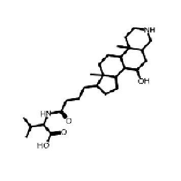 CC(C)C(NC(=O)CCCC1CCC2C3C(O)CC4CNCCC4(C)C3CCC12C)C(=O)O